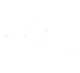 Cc1cc(NC(C)c2cccc(C(F)F)c2F)c2cc(N3CCC(C)(O)CC3)c(OC(F)F)cc2n1